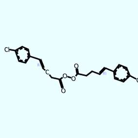 O=C(CC/C=C/c1ccc(Cl)cc1)OOC(=O)CC/C=C/c1ccc(Cl)cc1